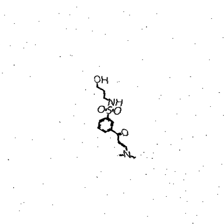 CN(C)C=CC(=O)c1cccc(S(=O)(=O)NCCCO)c1